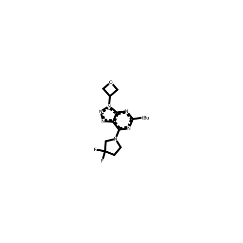 CC(C)(C)c1nc(N2CCC(F)(F)C2)c2nnn(C3COC3)c2n1